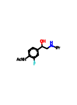 CC(=O)Nc1ccc(C(O)CNC(C)C)cc1F